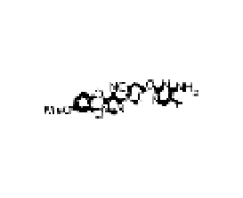 COc1ccc(Oc2ncnc(N3CCC(Oc4ncc(F)c(N)n4)CC3)c2[N+](=O)[O-])c(Cl)c1